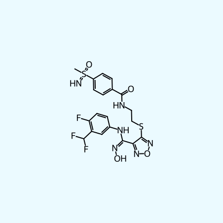 CS(=N)(=O)c1ccc(C(=O)NCCSc2nonc2/C(=N\O)Nc2ccc(F)c(C(F)F)c2)cc1